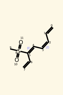 C=C/C=C\C=C(/C=C)S(C)(=O)=O